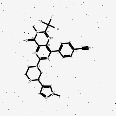 Cn1cc(C2CN(c3nc(-c4ccc(C#N)cc4)c4nc(C(F)(F)F)n(C)c(=O)c4n3)CCO2)cn1